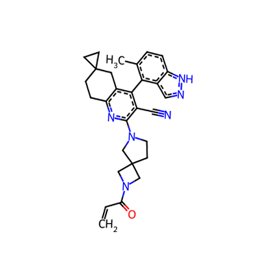 C=CC(=O)N1CC2(CCN(c3nc4c(c(-c5c(C)ccc6[nH]ncc56)c3C#N)CC3(CC4)CC3)C2)C1